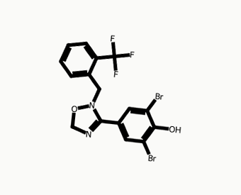 Oc1c(Br)cc(C2=NCON2Cc2ccccc2C(F)(F)F)cc1Br